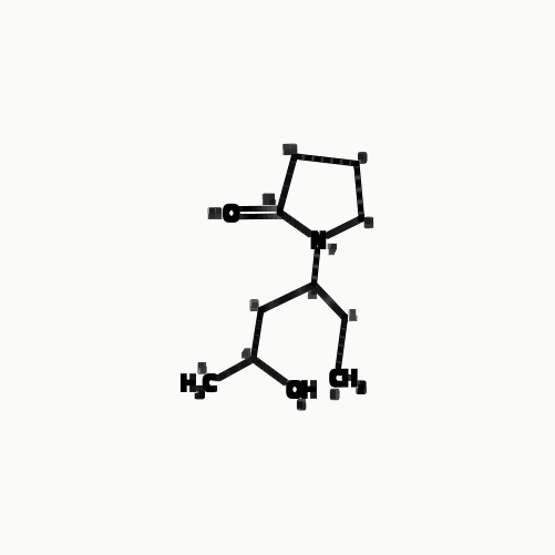 CCC(CC(C)O)N1CCCC1=O